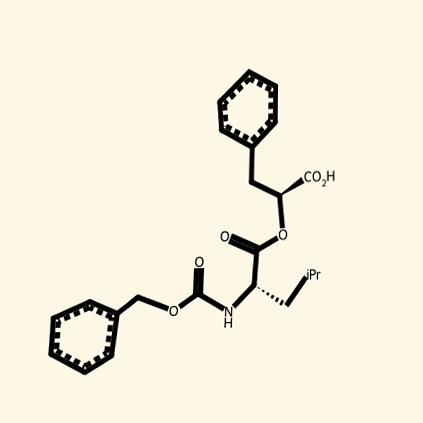 CC(C)C[C@H](NC(=O)OCc1ccccc1)C(=O)O[C@@H](Cc1ccccc1)C(=O)O